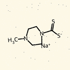 CN1CCN(C(=S)[S-])CC1.[Na+]